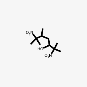 CC(CC(O)C(C)(C)[N+](=O)[O-])C(C)(C)[N+](=O)[O-]